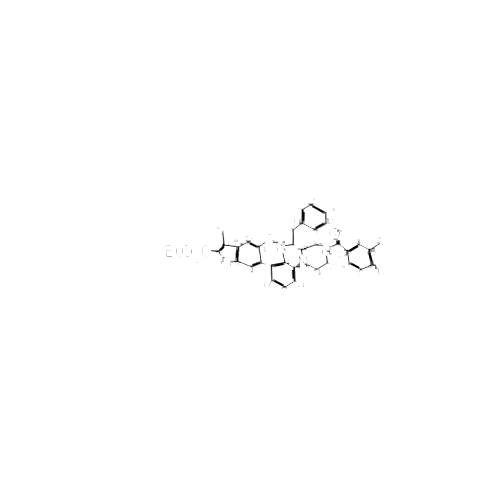 CCOC(=O)c1oc2ccc(SN(CCc3ccccc3)c3ccccc3N3CCN(C(=O)c4ccc(C)c(C)c4)CC3)cc2c1C